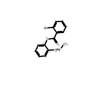 CC.CCC(C)c1ccccc1C(=O)Oc1ccccc1OC